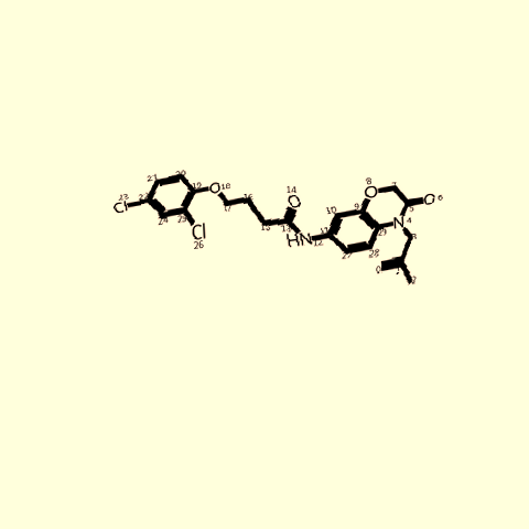 C=C(C)CN1C(=O)COc2cc(NC(=O)CCCOc3ccc(Cl)cc3Cl)ccc21